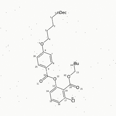 CCCCCCCCCCCCCCOc1ccc(C(=O)Oc2cccc(Cl)c2C(=O)OCC(C)CC)cc1